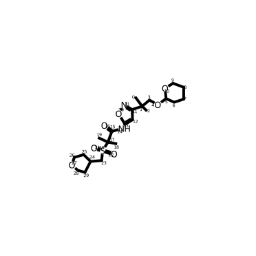 CC(C)(COC1CCCCO1)c1cc(NC(=O)C(C)(C)S(=O)(=O)CC2CCOCC2)on1